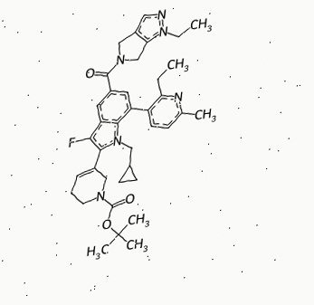 CCc1nc(C)ccc1-c1cc(C(=O)N2Cc3cnn(CC)c3C2)cc2c(F)c(C3=CCCN(C(=O)OC(C)(C)C)C3)n(CC3CC3)c12